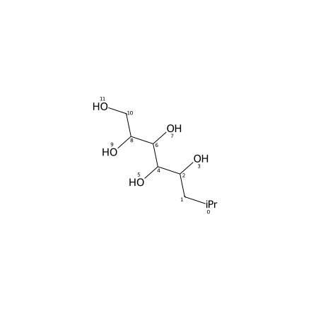 CC(C)CC(O)C(O)C(O)C(O)CO